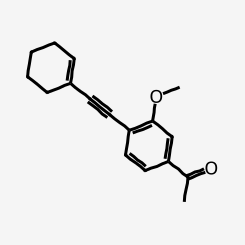 COc1cc(C(C)=O)ccc1C#CC1=CCCCC1